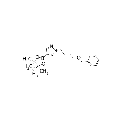 CC1(C)OB(c2cnn(CCCCOCc3ccccc3)c2)OC1(C)C